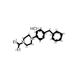 CCC(CC)N1CCN(c2ccc(Cc3ccccc3)cc2)CC1.Cl